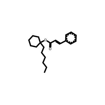 CCCCCCC1(OC(=O)C=Cc2ccccc2)CCCCC1